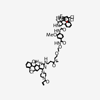 C=CC(=O)N1CCN(c2nc(NCCC(=O)N(C)CCOCCONC(=O)c3ccc(NC(=O)[C@@H]4N[C@@H](CC(C)(C)C)[C@](C#N)(c5ccc(Cl)cc5F)[C@H]4c4cccc(Cl)c4F)c(OC)c3)nc3c(F)c(-c4c(O)cccc4F)c(Cl)cc23)CC1